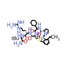 C=Cc1cccc(CSC[C@H](NC(=O)[C@@H](NC(=O)[C@@H]2CCCN2C)C2CCCCC2)C(=O)N[C@@H](CCCNC(=N)N)C(=O)N[C@H](C(N)=O)C(C)(C)C)c1